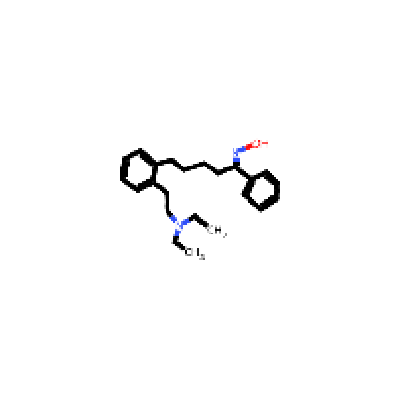 CCN(CC)CCc1ccccc1CCCCC(=NO)c1ccccc1